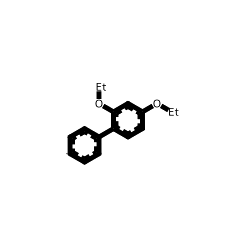 CCOc1ccc(-c2cc[c]cc2)c(OCC)c1